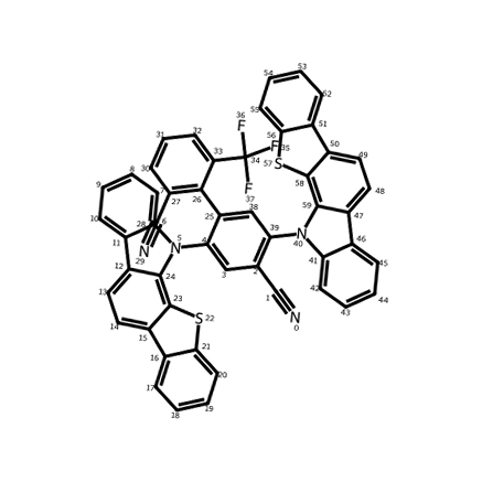 N#Cc1cc(-n2c3ccccc3c3ccc4c5ccccc5sc4c32)c(-c2c(C#N)cccc2C(F)(F)F)cc1-n1c2ccccc2c2ccc3c4ccccc4sc3c21